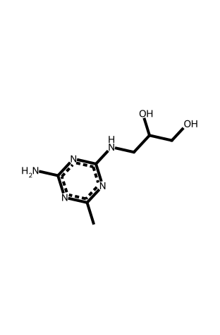 Cc1nc(N)nc(NCC(O)CO)n1